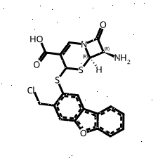 N[C@@H]1C(=O)N2C=C(C(=O)O)C(Sc3cc4c(cc3CCl)oc3ccccc34)S[C@H]12